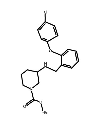 CC(C)(C)OC(=O)N1CCCC(NCc2ccccc2Oc2ccc(Cl)cc2)C1